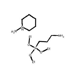 CCO[Si](CCCN)(OCC)OCC.N[SiH]1CCCCC1